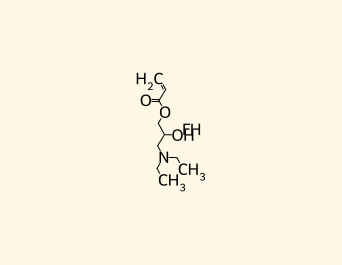 C=CC(=O)OCC(O)CN(CC)CC.F